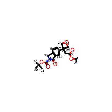 CCOC(=O)CC1(c2ccc3c(c2)C(=O)N(C(=O)OC(C)(C)C)C3)COC1